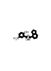 Nc1ccc(O)c(-c2nc(-c3cccc4c3CCC4)no2)c1